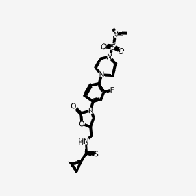 CN(C)S(=O)(=O)N1CCN(c2ccc(N3CC(CNC(=S)C4CC4)OC3=O)cc2F)CC1